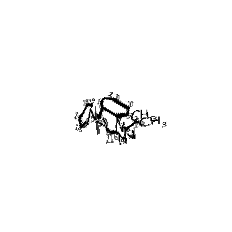 CC(C)c1nnc2n1-c1ccccc1C(N1CCCC1)=NC2